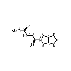 COC(=O)NCC(=O)N1CC2CCCC2C1